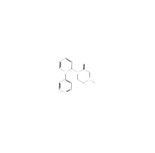 CN1CCN(C2C=CC=CN2c2ccncc2)C(=O)C1